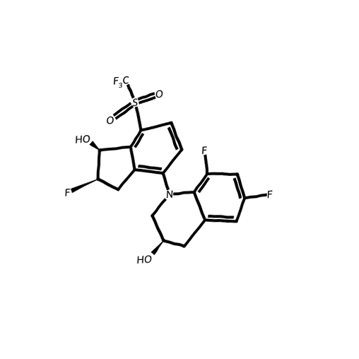 O=S(=O)(c1ccc(N2C[C@H](O)Cc3cc(F)cc(F)c32)c2c1[C@H](O)[C@H](F)C2)C(F)(F)F